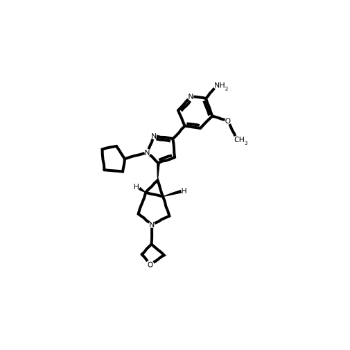 COc1cc(-c2cc([C@H]3[C@@H]4CN(C5COC5)C[C@@H]43)n(C3CCCC3)n2)cnc1N